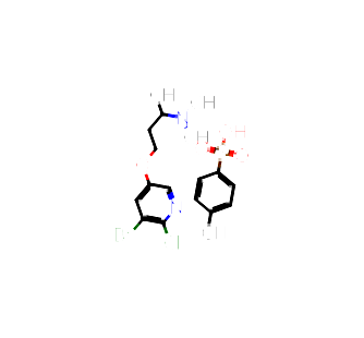 CC(CCOc1cnc(Cl)c(Br)c1)N(C)C.Cc1ccc(S(=O)(=O)O)cc1